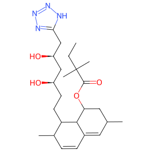 CCC(C)(C)C(=O)OC1CC(C)C=C2C=CC(C)C(CC[C@@H](O)C[C@@H](O)Cc3nnn[nH]3)C21